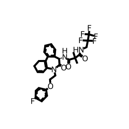 CC(C)(C(=O)NCC(F)(F)C(F)(F)F)C(=O)N[C@@H]1C(=O)N(CCOc2ccc(F)cc2)C2=C(CCC=C2)c2ccccc21